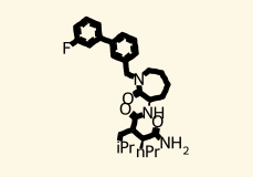 CCC[C@H](C(N)=O)C(CC(C)C)C(=O)N[C@H]1CCCCN(Cc2cccc(-c3cccc(F)c3)c2)C1=O